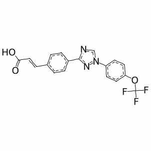 O=C(O)C=Cc1ccc(-c2ncn(-c3ccc(OC(F)(F)F)cc3)n2)cc1